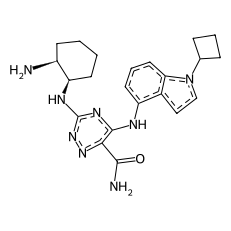 NC(=O)c1nnc(N[C@@H]2CCCC[C@@H]2N)nc1Nc1cccc2c1ccn2C1CCC1